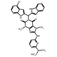 CN(C(=O)O)c1nccc(Nc2nc3c(c(=O)n(C(c4cc5ccccc5[nH]4)c4cc5c(Cl)cccc5[nH]4)c(=O)n3C)n2C)n1